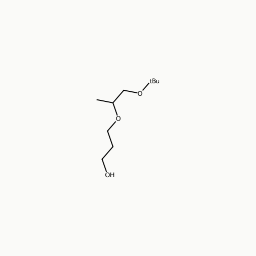 CC(COC(C)(C)C)OCCCO